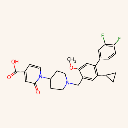 COc1cc(-c2ccc(F)c(F)c2)c(C2CC2)cc1CN1CCC(n2ccc(C(=O)O)cc2=O)CC1